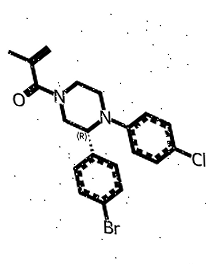 C=C(C)C(=O)N1CCN(c2ccc(Cl)cc2)[C@H](c2ccc(Br)cc2)C1